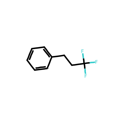 FC(F)(F)CCc1[c]cccc1